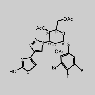 CC(=O)OC[C@H]1O[C@H](Sc2cc(Br)c(F)c(Br)c2)[C@H](OC(C)=O)[C@@H](n2cc(-c3csc(O)n3)nn2)[C@H]1OC(C)=O